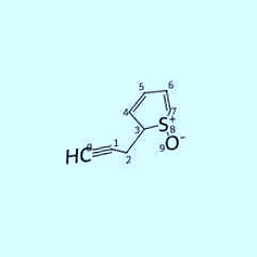 C#CCC1C=CC=C[S+]1[O-]